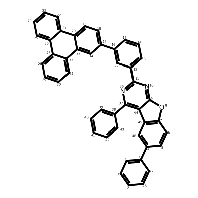 c1ccc(-c2ccc3oc4nc(-c5cccc(-c6ccc7c8ccccc8c8ccccc8c7c6)c5)nc(-c5ccccc5)c4c3c2)cc1